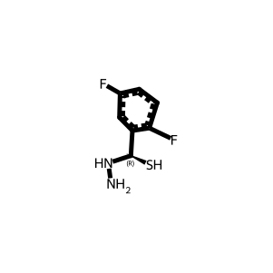 NN[C@H](S)c1cc(F)ccc1F